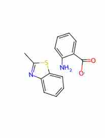 Cc1nc2ccccc2s1.Nc1ccccc1C([O])=O